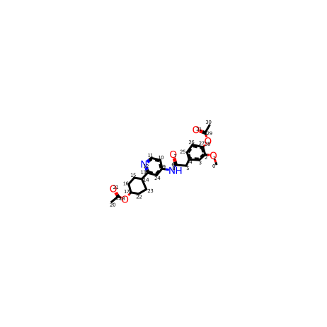 COc1cc(CC(=O)Nc2ccnc(C3CCC(OC(C)=O)CC3)c2)ccc1OC(C)=O